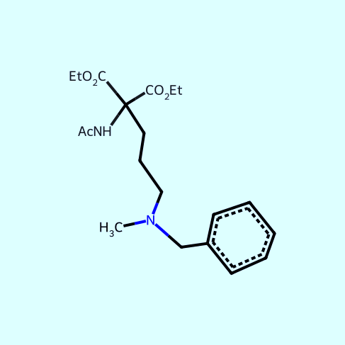 CCOC(=O)C(CCCN(C)Cc1ccccc1)(NC(C)=O)C(=O)OCC